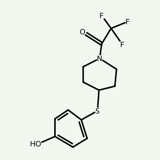 O=C(N1CCC(Sc2ccc(O)cc2)CC1)C(F)(F)F